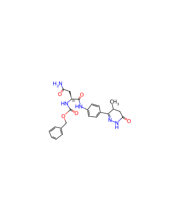 CC1CC(=O)NN=C1c1ccc(NC(=O)[C@H](CC(N)=O)NC(=O)OCc2ccccc2)cc1